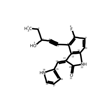 CCC(O)C#Cc1c(F)ccc2c1C(=Cc1ccc[nH]1)C(=O)N2